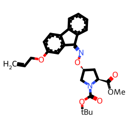 C=CCOc1ccc2c(c1)/C(=N\O[C@@H]1C[C@@H](C(=O)OC)N(C(=O)OC(C)(C)C)C1)c1ccccc1-2